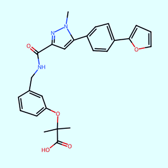 Cn1nc(C(=O)NCc2cccc(OC(C)(C)C(=O)O)c2)cc1-c1ccc(-c2ccco2)cc1